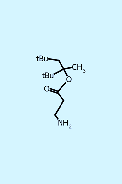 CC(C)(C)CC(C)(OC(=O)CCN)C(C)(C)C